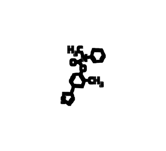 Cc1cc(-c2ccsc2)ccc1OC(=O)N(C)c1ccccc1